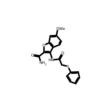 COc1ccc2c(NC(=O)CSc3ccccc3)c(C(N)=O)oc2c1